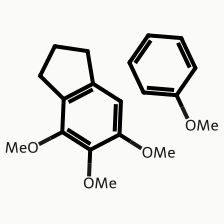 COc1cc2c(c(OC)c1OC)CCC2.COc1ccccc1